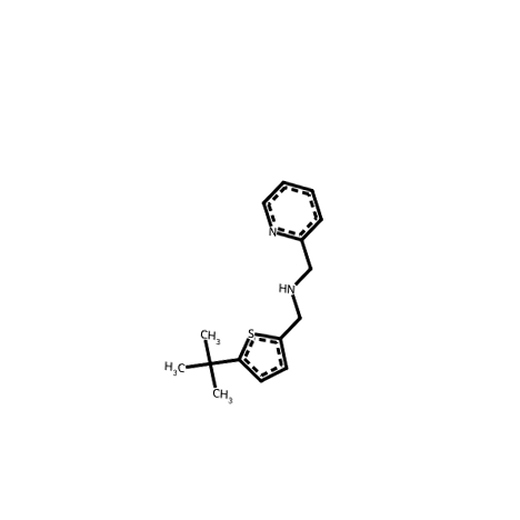 CC(C)(C)c1ccc(CNCc2ccccn2)s1